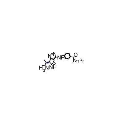 CCCN(C)C(=O)c1ccc(CNc2ncnc3c2SC(=N)/C3=C(/C)C(C)N)cc1